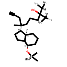 [2H]C([2H])([2H])C(O)(CCCC(C)(CC#C)[C@H]1CCC2[C@@H](O[Si](C)(C)C(C)(C)C)CCC[C@@]21C)C([2H])([2H])[2H]